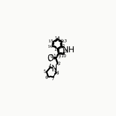 O=C(CN1CCCCC1)c1c[nH]c2[c]cccc12